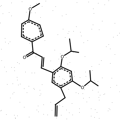 C=CCc1cc(C=CC(=O)c2ccc(OC)cc2)c(OC(C)C)cc1OC(C)C